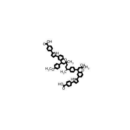 COc1ccc(C2=CC(C)(CCC(C)c3ccc(C4=CC(C)(C)Oc5ccc(-c6ccc(-c7ccc(C(=O)O)cc7)[nH]6)cc54)cc3)Oc3ccc(-c4ccc(-c5ccc(C(=O)O)cc5)[nH]4)cc32)cc1